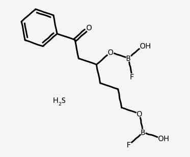 O=C(CC(CCCOB(O)F)OB(O)F)c1ccccc1.S